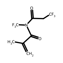 C=C(C)C(=O)N(C(=O)CC(F)(F)F)C(F)(F)F